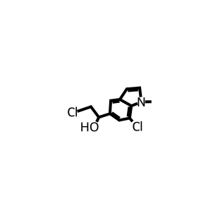 Cn1ccc2cc(C(O)CCl)cc(Cl)c21